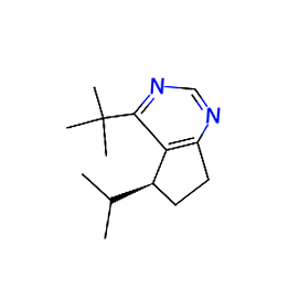 CC(C)[C@@H]1CCc2ncnc(C(C)(C)C)c21